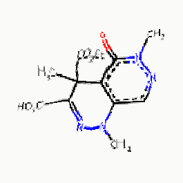 CCOC(=O)C1(C)C(C(=O)O)=NN(C)c2cnn(C)c(=O)c21